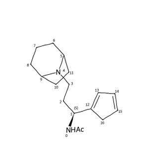 CC(=O)N[C@@H](CCN1C2CCCC1CC2)C1=CC=CC1